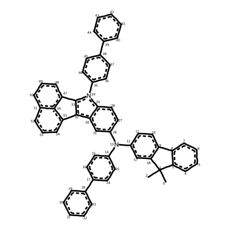 CC1(C)c2ccccc2-c2ccc(N(c3ccc(-c4ccccc4)cc3)c3ccc4c(c3)c3c(n4-c4ccc(-c5ccccc5)cc4)-c4cccc5cccc-3c45)cc21